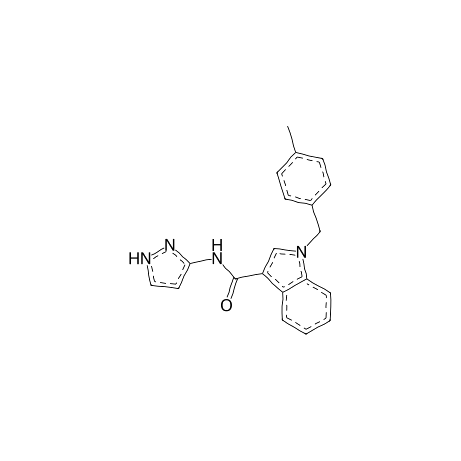 Cc1ccc(Cn2cc(C(=O)Nc3cc[nH]n3)c3ccccc32)cc1